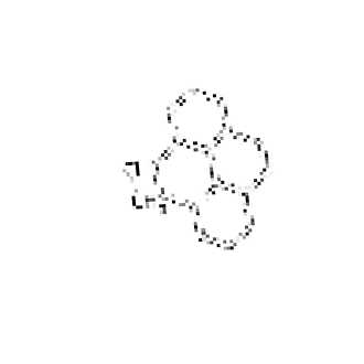 CCl.c1cc2ccc3cccc4ccc(c1)c2c34